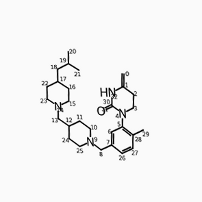 C=C1CCN(c2cc(CN3CCC(CN4CCC(CC(C)C)CC4)CC3)ccc2C)C(=O)N1